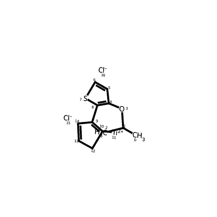 CC(C)Oc1ccsc1C1=[C]([Ti+2])CC=C1.[Cl-].[Cl-]